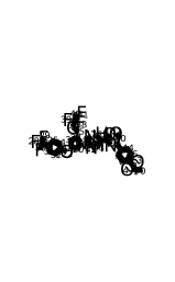 CCS(=O)(=O)c1ccc([C@H](CO)NC(=O)c2cnc(N3C[C@H](Oc4ccc(C(F)(F)F)cc4)C[C@H]3COC(F)(F)CF)nc2)cc1